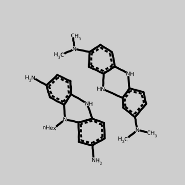 CCCCCCN1c2cc(N)ccc2Nc2ccc(N)cc21.CN(C)c1ccc2c(c1)Nc1cc(N(C)C)ccc1N2